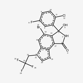 O=C1NC(O)(c2cc(F)ccc2Cl)c2c(Br)cc3c(ncn3CC(F)(F)F)c21